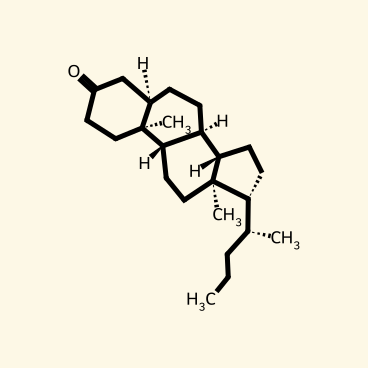 CCC[C@@H](C)[C@H]1CC[C@H]2[C@@H]3CC[C@@H]4CC(=O)CC[C@]4(C)[C@H]3CC[C@]12C